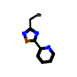 CC(C)Cc1nsc(-c2ccccn2)n1